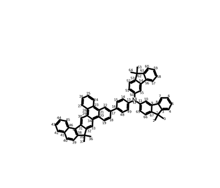 CC1(C)c2ccccc2-c2cc(N(c3ccc(-c4ccc5c(c4)c4ccccc4c4cc6c(cc54)C(C)(C)c4ccc5ccccc5c4-6)cc3)c3ccc4c(c3)-c3ccccc3C4(C)C)ccc21